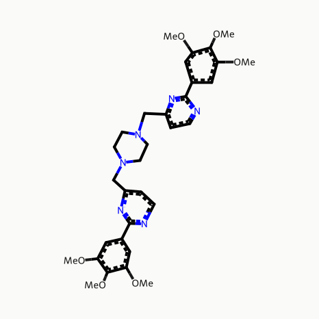 COc1cc(-c2nccc(CN3CCN(Cc4ccnc(-c5cc(OC)c(OC)c(OC)c5)n4)CC3)n2)cc(OC)c1OC